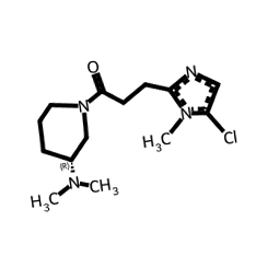 CN(C)[C@@H]1CCCN(C(=O)CCc2ncc(Cl)n2C)C1